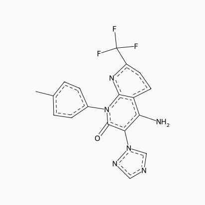 Cc1ccc(-n2c(=O)c(-n3cncn3)c(N)c3ccc(C(F)(F)F)nc32)cc1